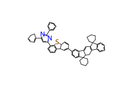 C1=CCCC(c2cc(-c3cccc4c3SC3C=CC(c5ccc6c(c5)C5=CC7=C(CC5C65CCCCC5)c5ccccc5C75CCCCC5)=CC43)nc(-c3ccccc3)n2)=C1